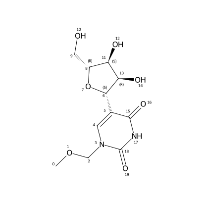 COCn1cc([C@@H]2O[C@H](CO)[C@@H](O)[C@H]2O)c(=O)[nH]c1=O